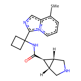 CSc1cccn2c(C3(NC(=O)[C@H]4[C@@H]5CNC[C@@H]54)CCC3)ncc12